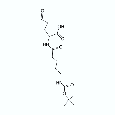 CC(C)(C)OC(=O)NCCCCC(=O)NC(CCC=O)C(=O)O